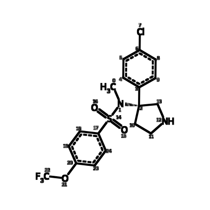 CN([C@@]1(c2ccc(Cl)cc2)CCNC1)S(=O)(=O)c1ccc(OC(F)(F)F)cc1